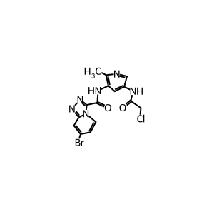 Cc1ncc(NC(=O)CCl)cc1NC(=O)c1nnc2cc(Br)ccn12